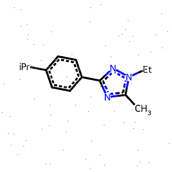 CCn1nc(-c2ccc(C(C)C)cc2)nc1C